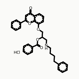 Cl.O=C(OC(CNCCCCc1ccccc1)COc1cccc2c(=O)cc(-c3ccccc3)oc12)c1ccccc1